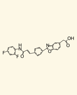 O=C(O)Cc1ccc2oc(-c3ccc(C=CC(=O)Nc4ccc(F)cc4F)cc3)nc2c1